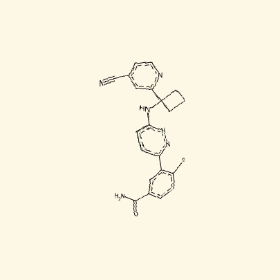 N#Cc1ccnc(C2(Nc3ccc(-c4cc(C(N)=O)ccc4F)nn3)CCC2)c1